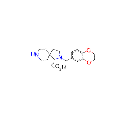 O=C(O)C1N(Cc2ccc3c(c2)OCCO3)CCC12CCNCC2